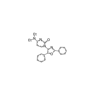 CCN(CC)c1ccn(-c2nc(-c3ccccc3)oc2-c2ccccc2)c(=O)n1